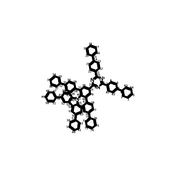 c1ccc(-c2ccc(-c3nc(-c4ccc(-c5ccccc5)cc4)nc(-c4cc(-c5ccc(-c6ccccc6)cc5)c(-n5c6ccc(-c7ccccc7)cc6c6cc(-c7ccccc7)ccc65)c(-c5ccc(-c6ccccc6)cc5)c4)n3)cc2)cc1